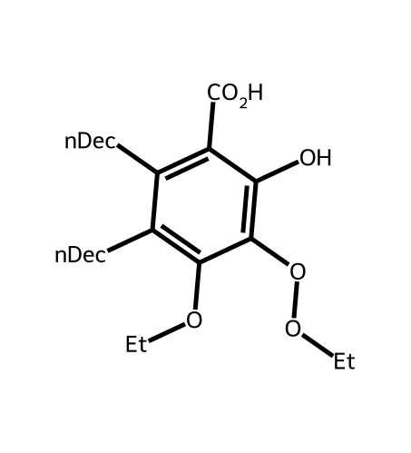 CCCCCCCCCCc1c(CCCCCCCCCC)c(C(=O)O)c(O)c(OOCC)c1OCC